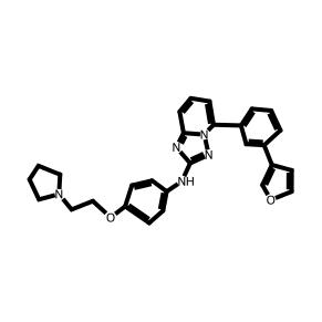 c1cc(-c2ccoc2)cc(-c2cccc3nc(Nc4ccc(OCCN5CCCC5)cc4)nn23)c1